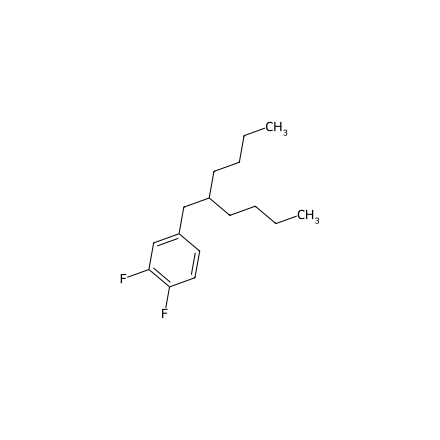 CCCCC(CCCC)Cc1ccc(F)c(F)c1